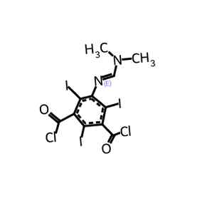 CN(C)/C=N/c1c(I)c(C(=O)Cl)c(I)c(C(=O)Cl)c1I